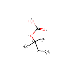 BC(=O)OC(C)(C)CC